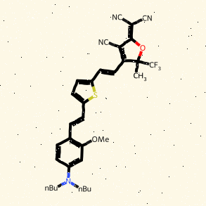 CCCCN(CCCC)c1ccc(C=Cc2ccc(C=CC3=C(C#N)C(=C(C#N)C#N)OC3(C)C(F)(F)F)s2)c(OC)c1